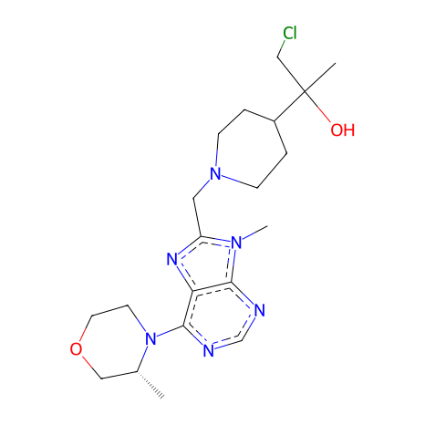 C[C@@H]1COCCN1c1ncnc2c1nc(CN1CCC(C(C)(O)CCl)CC1)n2C